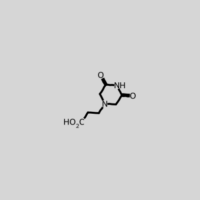 O=C(O)CCN1CC(=O)NC(=O)C1